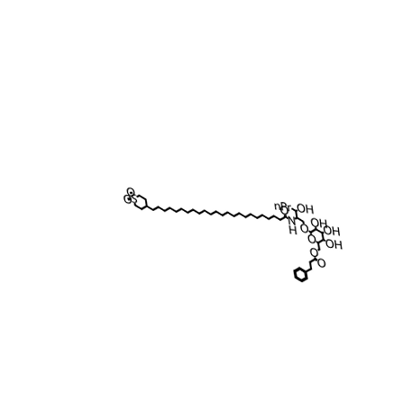 CCCC(O)C(COC1OC(COC(=O)CCc2ccccc2)C(O)C(O)C1O)NC(=O)CCCCCCCCCCCCCCCCCCCCCCCC1CCS(=O)(=O)CC1